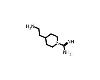 N=C(N)N1CCC(CCN)CC1